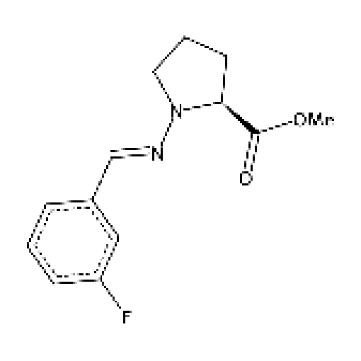 COC(=O)[C@@H]1CCCN1N=Cc1cccc(F)c1